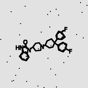 O=c1[nH]c2ccccc2n1C1CCN(C2CCC(c3ccc(F)cc3)(c3ccc(F)cc3)CC2)CC1